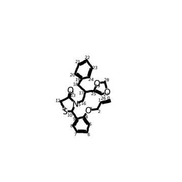 C=CCOc1ccccc1C1SCC(=O)N1CC(Cc1ccccc1)C1=COCO1